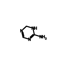 NC1=NC=NCN1